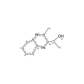 Cc1nc2ccccc2nc1C(C)O